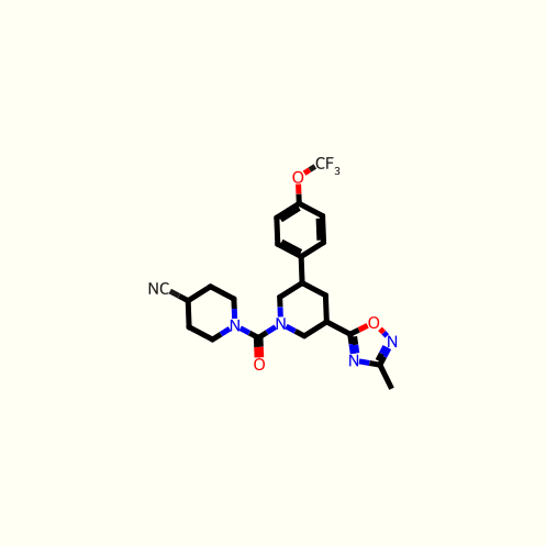 Cc1noc(C2CC(c3ccc(OC(F)(F)F)cc3)CN(C(=O)N3CCC(C#N)CC3)C2)n1